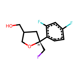 OCC1CO[C@@](CI)(c2ccc(F)cc2F)C1